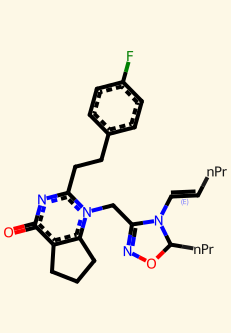 CCC/C=C/N1C(Cn2c(CCc3ccc(F)cc3)nc(=O)c3c2CCC3)=NOC1CCC